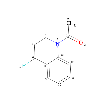 CC(=O)N1CCC(F)c2ccccc21